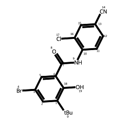 CC(C)(C)c1cc(Br)cc(C(=O)Nc2ccc(C#N)cc2Cl)c1O